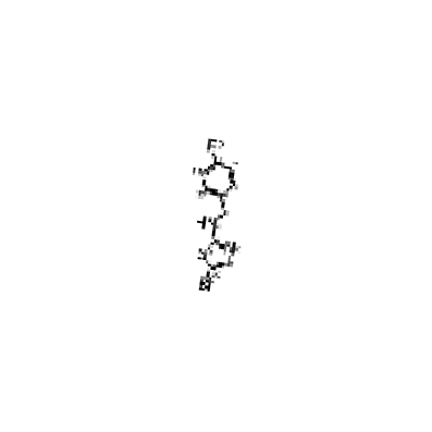 Fc1ccc(CNc2ncc(Br)s2)cc1